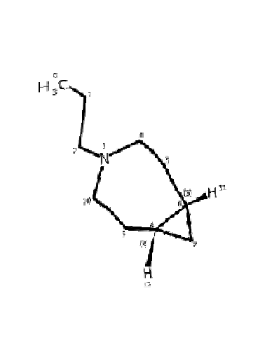 CCCN1CC[C@@H]2C[C@@H]2CC1